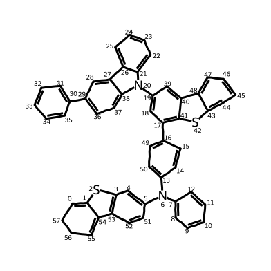 C1=c2sc3cc(N(c4ccccc4)c4ccc(-c5cc(-n6c7ccccc7c7cc(-c8ccccc8)ccc76)cc6c5sc5ccccc56)cc4)ccc3c2=CCC1